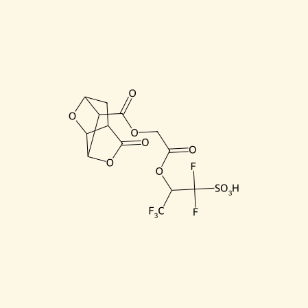 O=C(COC(=O)C1C2CC3C(=O)OC1C3O2)OC(C(F)(F)F)C(F)(F)S(=O)(=O)O